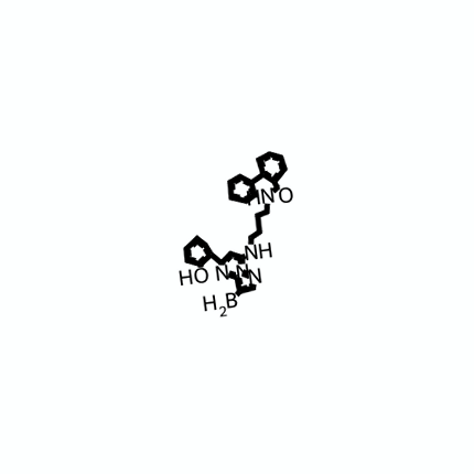 Bc1cnn2c(NCCCCNC(=O)c3ccccc3-c3ccccc3)cc(-c3ccccc3O)nc12